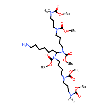 CN(CCCN(CCCCN(C(=O)OC(C)(C)C)C(CCCCCCN)N(CCCCN(CCCN(C)C(=O)OC(C)(C)C)C(=O)OC(C)(C)C)C(=O)OC(C)(C)C)C(=O)OC(C)(C)C)C(=O)OC(C)(C)C